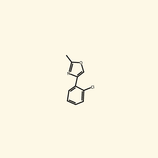 Cc1nc(-c2ccccc2Cl)co1